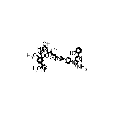 Cc1ncsc1-c1ccc(C(C)NC(=O)[C@@H]2C[C@@H](O)CN2C(=O)C(c2cc(N3CC(N4CCC(n5nc(N)c6nnc(-c7ccccc7O)cc65)CC4)C3)no2)C(C)C)cc1